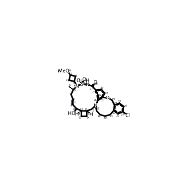 COC1CC(N2[C@H](C)C/C=C/C(O)[C@@H]3CC[C@H]3CN3CCCCc4cc(Cl)ccc4COc4ccc(cc43)C(=O)NS2(=O)=O)C1